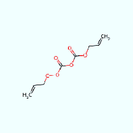 C=CCOOC(=O)OC(=O)OCC=C